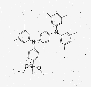 CCO[Si](C)(OCC)c1ccc(N(c2ccc(N(c3cc(C)cc(C)c3)c3cc(C)cc(C)c3)cc2)c2cc(C)cc(C)c2)cc1